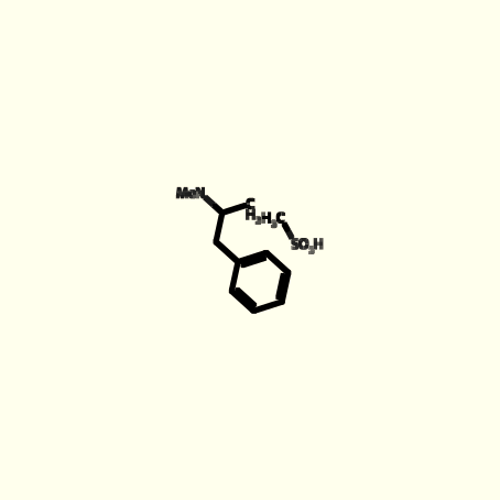 CNC(C)Cc1ccccc1.CS(=O)(=O)O